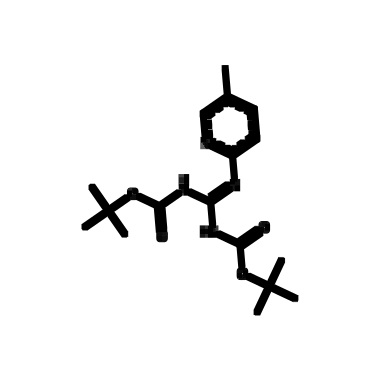 Cc1ccc(N=C(NC(=O)OC(C)(C)C)NC(=O)OC(C)(C)C)nc1